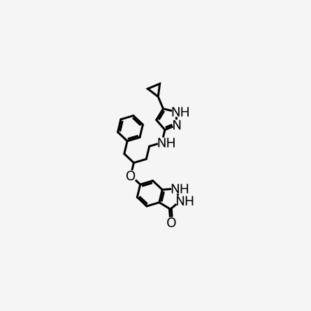 O=c1[nH][nH]c2cc(OC(CCNc3cc(C4CC4)[nH]n3)Cc3ccccc3)ccc12